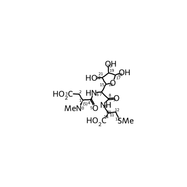 CN[C@@H](CC(=O)O)C(=O)NC(C(=O)N[C@@H](CSC)C(=O)O)C1OC(O)C(O)C1O